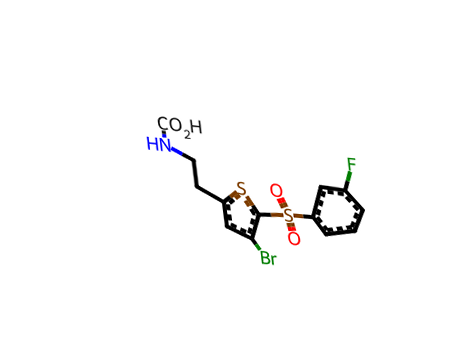 O=C(O)NCCc1cc(Br)c(S(=O)(=O)c2cccc(F)c2)s1